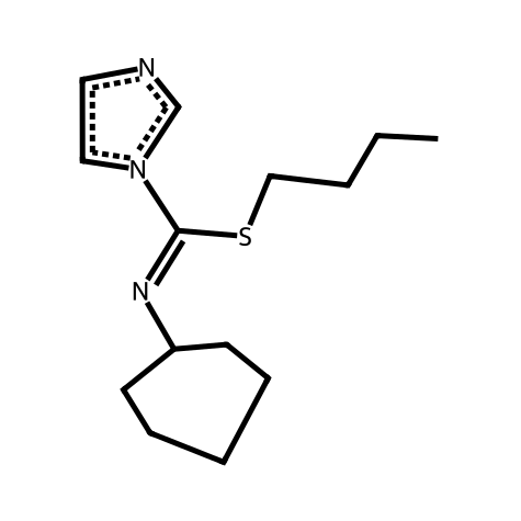 CCCCSC(=NC1CCCCC1)n1ccnc1